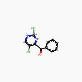 O=C(c1ccccc1)c1nc(Cl)ncc1Br